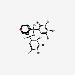 Brc1cc(C(Br)(OC(Br)(c2ccccc2)c2cc(Br)c(Br)c(Br)c2Br)c2ccccc2)c(Br)c(Br)c1Br